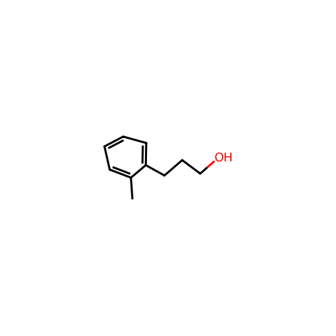 Cc1ccccc1CCCO